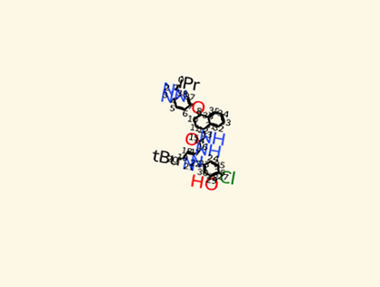 CC(C)c1nnc2ccc(OC3CCC(NC(=O)Nc4cc(C(C)(C)C)nn4-c4ccc(Cl)c(O)c4)c4ccccc43)cn12